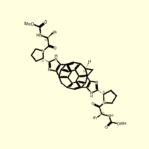 COC(=O)N[C@H](C(=O)N1CCC[C@H]1c1nc2cc(-c3cc4ccc3CCc3ccc(c(-c5ccc6[nH]c([C@@H]7CCCN7C(=O)[C@@H](NC(=O)OC)C(C)C)nc6c5)c3)[C@H]3CC43)ccc2[nH]1)C(C)C